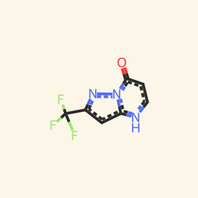 O=c1cc[nH]c2cc(C(F)(F)F)nn12